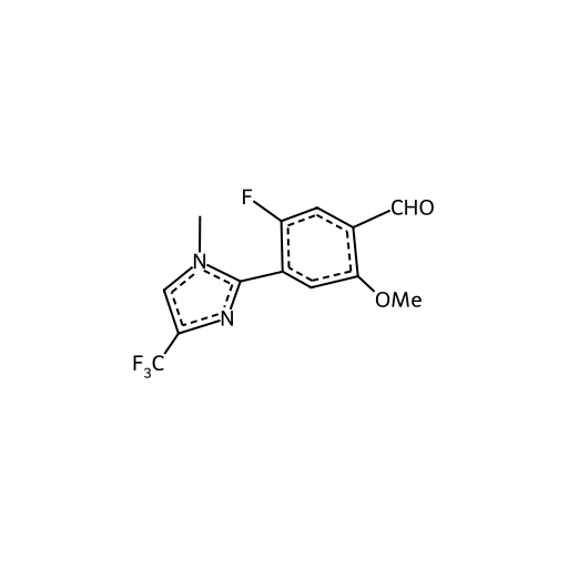 COc1cc(-c2nc(C(F)(F)F)cn2C)c(F)cc1C=O